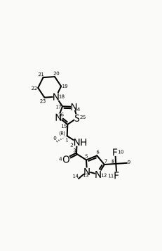 C[C@@H](NC(=O)c1cc(C(C)(F)F)nn1C)c1nc(N2CCCCC2)ns1